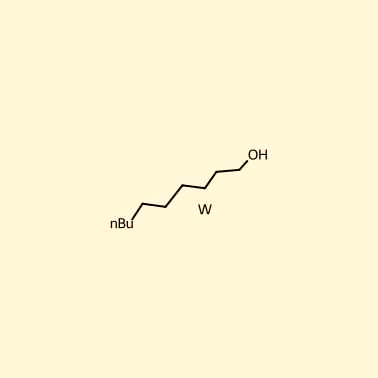 CCCCCCCCCCO.[W]